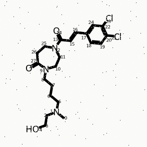 CN(CCO)CCCCN1CCN(C(=O)C=Cc2ccc(Cl)c(Cl)c2)CCC1=O